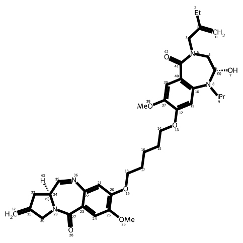 C=C(CC)CN1C[C@H](O)N(C(C)C)c2cc(OCCCCCOc3cc4c(cc3OC)C(=O)N3CC(=C)C[C@H]3C=N4)c(OC)cc2C1=O